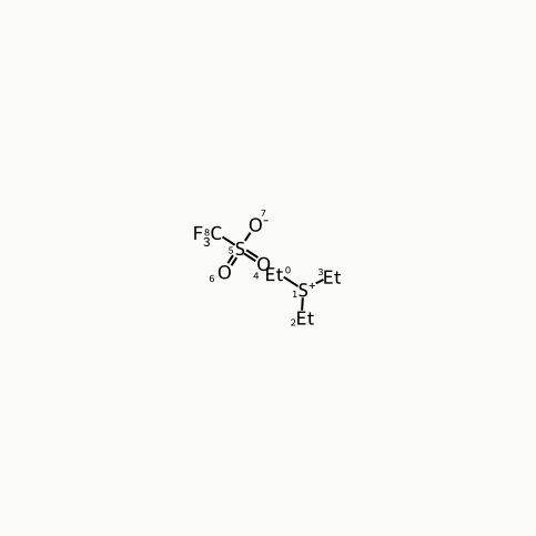 CC[S+](CC)CC.O=S(=O)([O-])C(F)(F)F